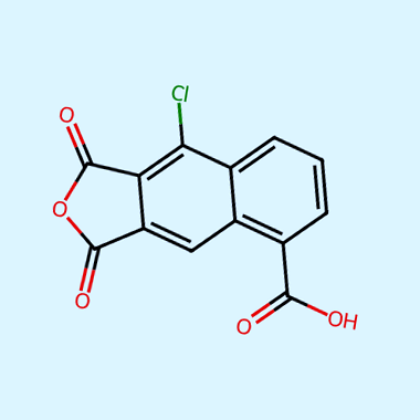 O=C1OC(=O)c2c1cc1c(C(=O)O)cccc1c2Cl